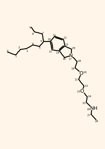 CCCCCCC(CCC)c1ccc2c(c1)CN(CCOCCOCCNCC)C2